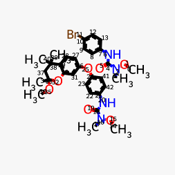 CON(C)C(=O)Nc1ccc(Br)cc1.CON(C)C(=O)Nc1ccc(Oc2ccc3c(c2)OC(C)(OC)CC3(C)C)cc1